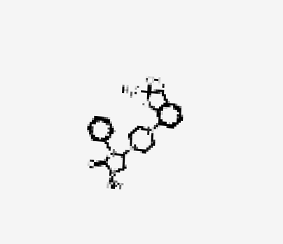 CCCN1CC(N2CCN(c3cccc4c3OC(C)(C)C4)CC2)N(c2ccccc2)C1=O